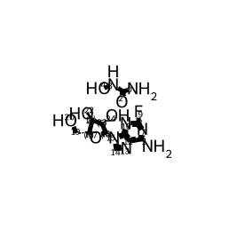 NC(=O)NO.Nc1nc(F)nc2c1ncn2[C@@H]1O[C@H](CO)[C@@H](O)[C@@H]1O